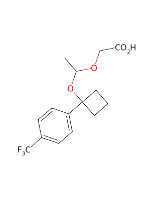 CC(OCC(=O)O)OC1(c2ccc(C(F)(F)F)cc2)CCC1